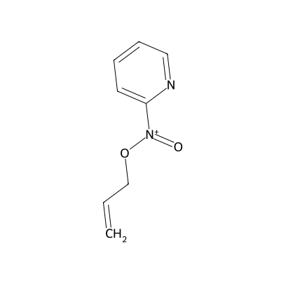 C=CCO[N+](=O)c1ccccn1